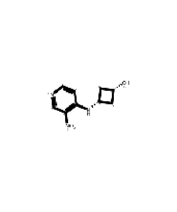 O=[N+]([O-])c1cnccc1N[C@H]1C[C@@H](O)C1